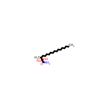 CCCCCCCCCCCCCCCC(C)C(O)(O)C(N)=O